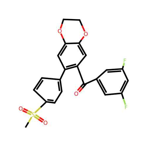 CS(=O)(=O)c1ccc(-c2cc3c(cc2C(=O)c2cc(F)cc(F)c2)OCCO3)cc1